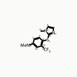 CNc1ccc(Sc2nccn2C)c(C(F)(F)F)c1